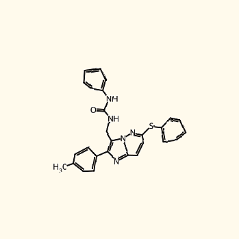 Cc1ccc(-c2nc3ccc(Sc4ccccc4)nn3c2CNC(=O)Nc2ccccc2)cc1